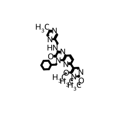 COC1=C(c2ccc3nc(NCc4cnc(C)cn4)c(=O)n(CC4CCCCC4)c3n2)C=NC(OC)N1C